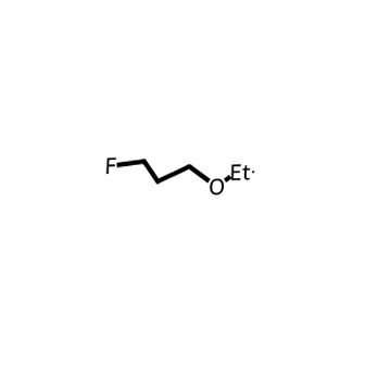 C[CH]OCCCF